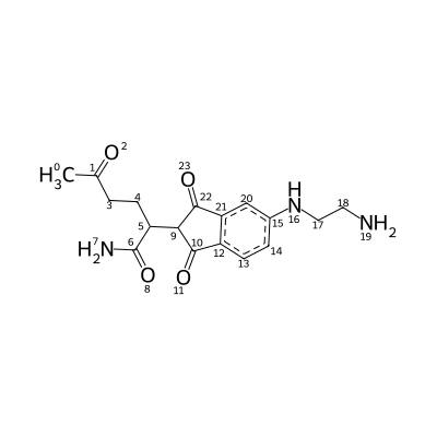 CC(=O)CCC(C(N)=O)C1C(=O)c2ccc(NCCN)cc2C1=O